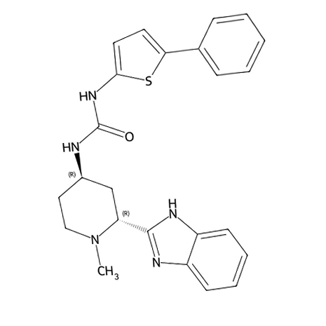 CN1CC[C@@H](NC(=O)Nc2ccc(-c3ccccc3)s2)C[C@@H]1c1nc2ccccc2[nH]1